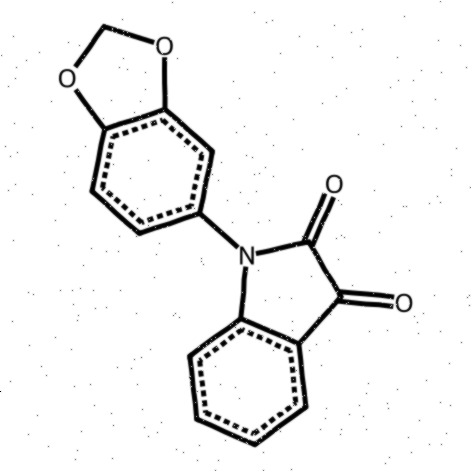 O=C1C(=O)N(c2ccc3c(c2)OCO3)c2ccccc21